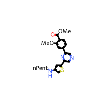 CCCCCNc1csc(-c2cncc(-c3ccc(C(=O)OC)c(OC)c3)n2)c1